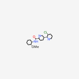 COc1ccccc1NC(=O)c1ccc(-c2ncccc2Cl)cn1